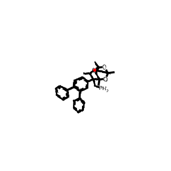 CC12CC3(C)OC(C)(CC(C)(O1)C3(CP)c1ccc(-c3ccccc3)c(-c3ccccc3)c1)O2